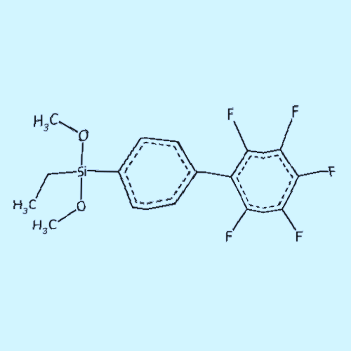 CC[Si](OC)(OC)c1ccc(-c2c(F)c(F)c(F)c(F)c2F)cc1